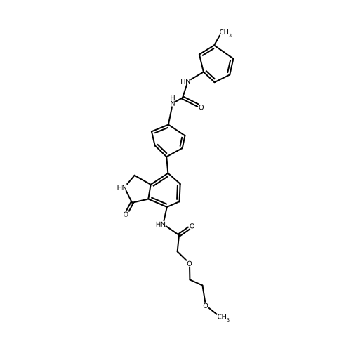 COCCOCC(=O)Nc1ccc(-c2ccc(NC(=O)Nc3cccc(C)c3)cc2)c2c1C(=O)NC2